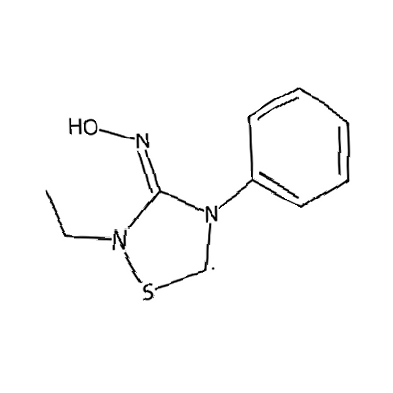 CCN1S[CH]N(c2ccccc2)C1=NO